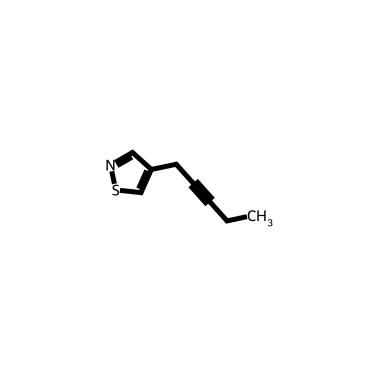 CCC#CCc1cnsc1